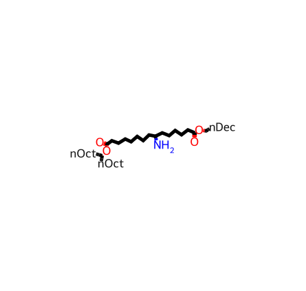 CCCCCCCCCCCOC(=O)CCCCCC(N)CCCCCCCC(=O)OC(CCCCCCCC)CCCCCCCC